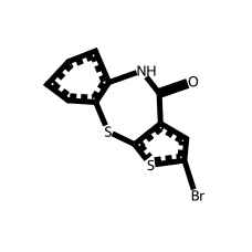 O=C1Nc2ccccc2Sc2sc(Br)cc21